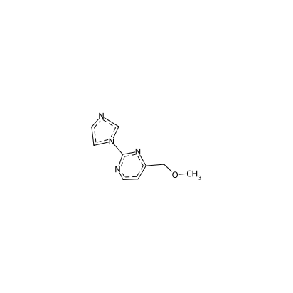 COCc1ccnc(-n2ccnc2)n1